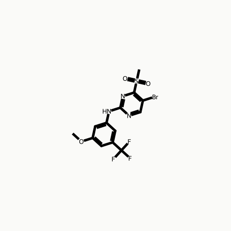 COc1cc(Nc2ncc(Br)c(S(C)(=O)=O)n2)cc(C(F)(F)F)c1